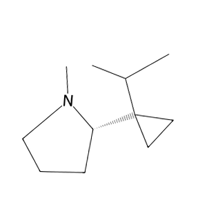 CC(C)C1([C@@H]2CCCN2C)CC1